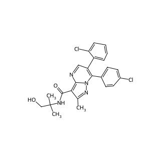 Cc1nn2c(-c3ccc(Cl)cc3)c(-c3ccccc3Cl)cnc2c1C(=O)NC(C)(C)CO